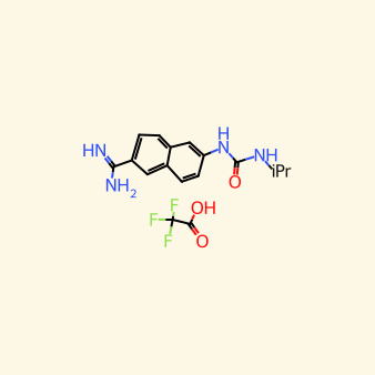 CC(C)NC(=O)Nc1ccc2cc(C(=N)N)ccc2c1.O=C(O)C(F)(F)F